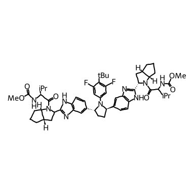 COC(=O)NC(C(=O)N1[C@H](c2nc3cc([C@H]4CC[C@H](c5ccc6[nH]c(C7C[C@@H]8CCC[C@@H]8N7C(=O)[C@@H](NC(=O)OC)C(C)C)nc6c5)N4c4cc(F)c(C(C)(C)C)c(F)c4)ccc3[nH]2)C[C@@H]2CCC[C@@H]21)C(C)C